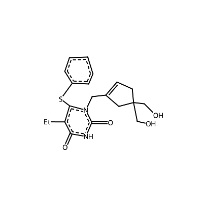 CCc1c(Sc2ccccc2)n(CC2=CCC(CO)(CO)C2)c(=O)[nH]c1=O